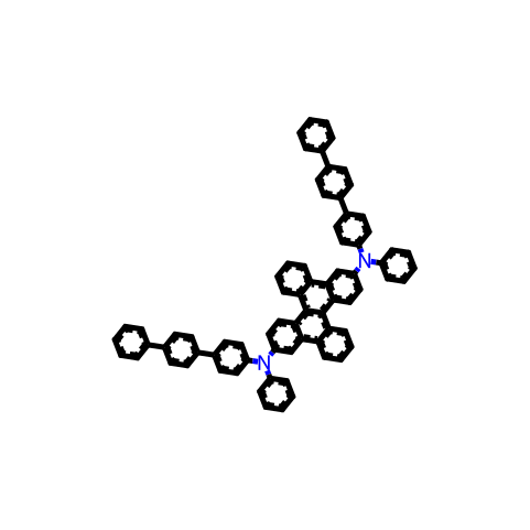 c1ccc(-c2ccc(-c3ccc(N(c4ccccc4)c4ccc5c(c4)c4ccccc4c4c6ccc(N(c7ccccc7)c7ccc(-c8ccc(-c9ccccc9)cc8)cc7)cc6c6ccccc6c54)cc3)cc2)cc1